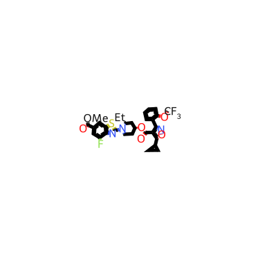 CC[C@H]1C[C@@H](OC(=O)c2c(-c3ccccc3OC(F)(F)F)noc2C2CC2)CCN1c1nc2c(F)cc(C(=O)OC)cc2s1